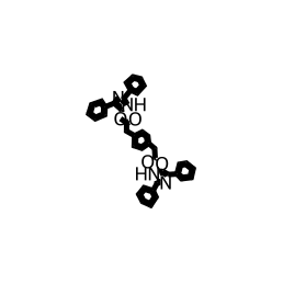 O=C(Cc1ccc(CC(=O)Oc2[nH]c(-c3ccccc3)nc2-c2ccccc2)cc1)Oc1[nH]c(-c2ccccc2)nc1-c1ccccc1